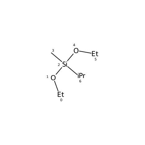 CCO[Si](C)(OCC)C(C)C